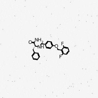 NC(=O)[C@@H](Cc1ccccc1)NCc1ccc(OCc2c(F)cccc2F)cc1